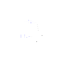 CC1(C)C(N)=C(C=N)C1(C)C